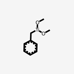 C[O][Ti]([CH2]c1ccccc1)[O]C